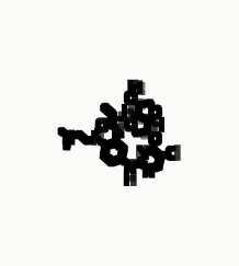 C=CC(=O)Nc1cc(Nc2ncc(Cl)c(O[C@@H]3CO[C@H]4[C@@H]3OC[C@H]4OCC)n2)ccc1N(C)CCN(C)C